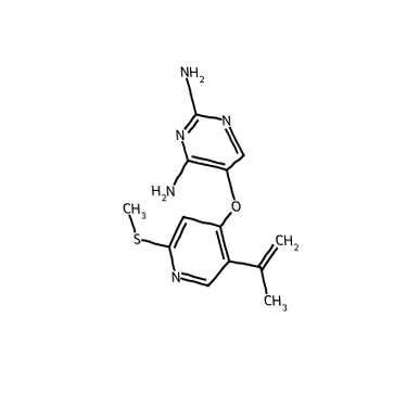 C=C(C)c1cnc(SC)cc1Oc1cnc(N)nc1N